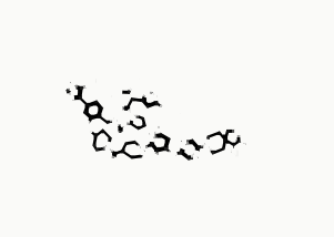 Cc1cc([C@H](C(=O)N2C[C@H](O)C[C@H]2C(=O)NCc2ccc(-c3scnc3C)cc2OC2CCN(C(=O)C3CCN(c4nccc(Sc5cnc(N6CCC7(CC6)CO[C@@H](C)[C@H]7N)cn5)c4Cl)CC3)CC2)C(C)C)on1